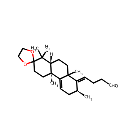 C[C@H]1CC=C2C(C)(CC[C@H]3C(C)(C)C4(CC[C@]23C)OCCO4)C1=CCCC=O